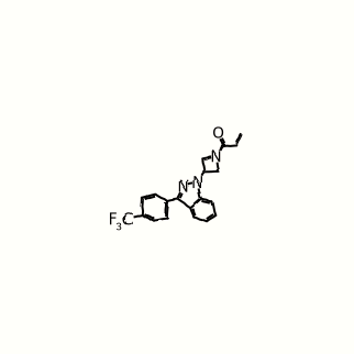 C=CC(=O)N1CC(n2nc(-c3ccc(C(F)(F)F)cc3)c3ccccc32)C1